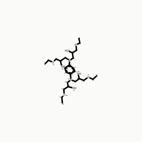 CCOCC(O)CN(CC(O)COCC)c1ccc(N(CC(O)COCC)CC(O)COCC)cc1